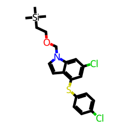 C[Si](C)(C)CCOCn1ccc2c(Sc3ccc(Cl)cc3)cc(Cl)cc21